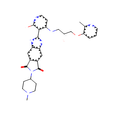 Cc1ncccc1OC[C@H](O)CNc1ccnc(O)c1-c1nc2cc3c(cc2[nH]1)C(=O)N(C1CCN(C)CC1)C3=O